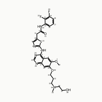 COc1cc2c(Nc3ncc(CC(=O)Nc4cccc(F)c4F)s3)ncnc2cc1OCCCN(C)CCO